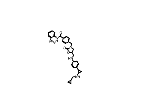 Nc1ccccc1NC(=O)c1ccc(CN2CC(CNc3ccc(C4CC4NCC4CC4)cc3)OC2=O)cc1